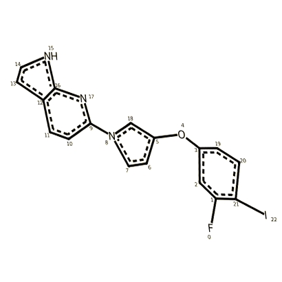 Fc1cc(Oc2ccn(-c3ccc4cc[nH]c4n3)c2)ccc1I